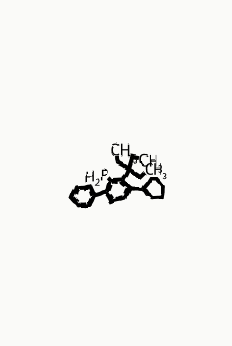 CCC(CC)(CC)c1c(C2CCCCC2)ccc(-c2ccccc2)c1P